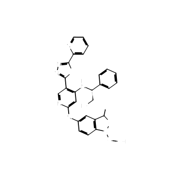 COB1OC(C)c2cc(Nc3cc(N[C@H](CO)c4ccccc4)c(-c4nnc(-c5ccccn5)o4)cn3)ccc21